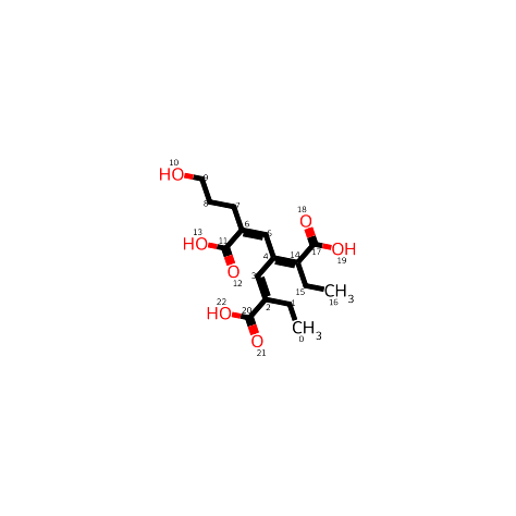 CCC(=CC(C=C(CCCO)C(=O)O)=C(CC)C(=O)O)C(=O)O